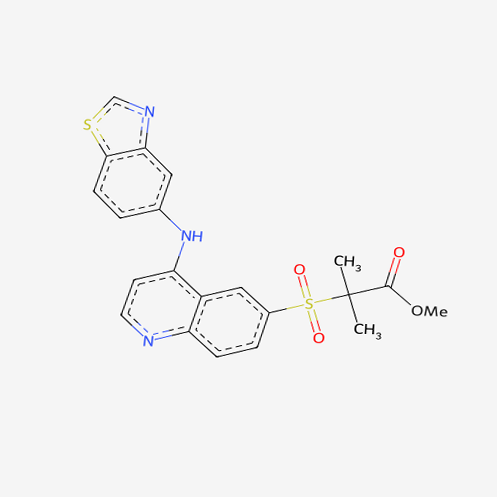 COC(=O)C(C)(C)S(=O)(=O)c1ccc2nccc(Nc3ccc4scnc4c3)c2c1